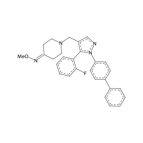 CON=C1CCN(Cc2cnn(-c3ccc(-c4ccccc4)cc3)c2-c2ccccc2F)CC1